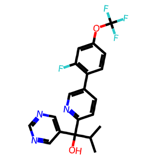 CC(C)C(O)(c1cncnc1)c1ccc(-c2ccc(OC(F)(F)F)cc2F)cn1